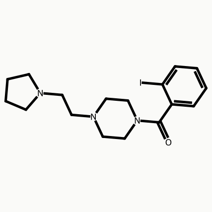 O=C(c1ccccc1I)N1CCN(CCN2CCCC2)CC1